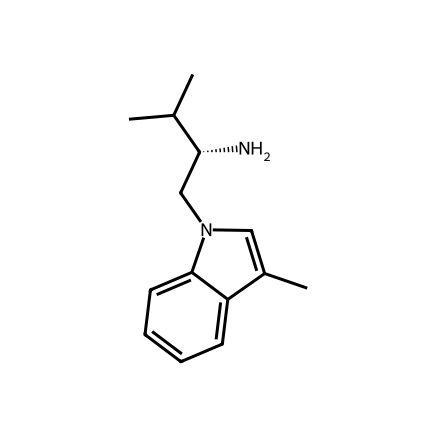 Cc1cn(C[C@@H](N)C(C)C)c2ccccc12